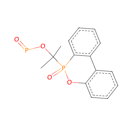 CC(C)(OP=O)P1(=O)Oc2ccccc2-c2ccccc21